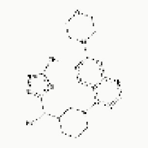 Cc1nnc(C(O)C2CCCN(c3ncnc4cc(N5CCOCC5)ccc34)C2)s1